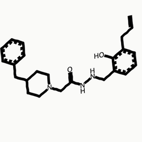 C=CCc1cccc(CNNC(=O)CN2CCC(Cc3ccccc3)CC2)c1O